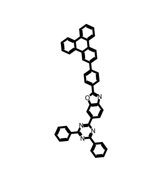 c1ccc(-c2nc(-c3ccccc3)nc(-c3ccc4nc(-c5ccc(-c6ccc7c8ccccc8c8ccccc8c7c6)cc5)oc4c3)n2)cc1